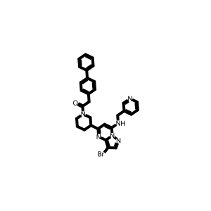 O=C(Cc1ccc(-c2ccccc2)cc1)N1CCCC(c2cc(NCc3cccnc3)n3ncc(Br)c3n2)C1